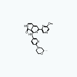 COc1cncc(-c2cc3cc[nH]c(=O)c3c(Nc3ccc(N4CCO[C@@H](C)C4)nc3)n2)n1